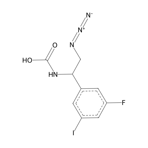 [N-]=[N+]=NCC(NC(=O)O)c1cc(F)cc(I)c1